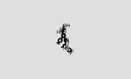 Cc1cc(-c2cn(-c3ccc(NS(=O)(=O)C(C)CO)cc3N3CCC4(CC3)CC4)nn2)nc(N2CCC(F)(F)CC2)n1